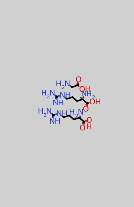 N=C(N)NCCC[C@H](N)C(=O)O.N=C(N)NCCC[C@H](N)C(=O)O.NCC(=O)O